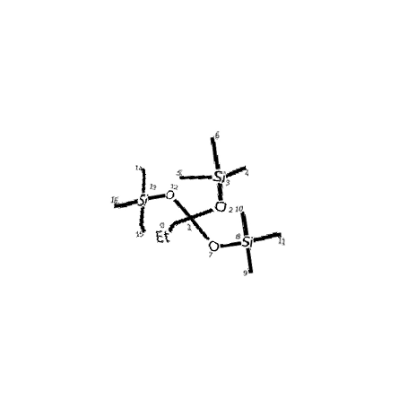 CCC(O[Si](C)(C)C)(O[Si](C)(C)C)O[Si](C)(C)C